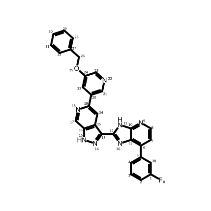 Fc1cccc(-c2ccnc3[nH]c(-c4n[nH]c5cnc(-c6cncc(OCc7ccccc7)c6)cc45)nc23)c1